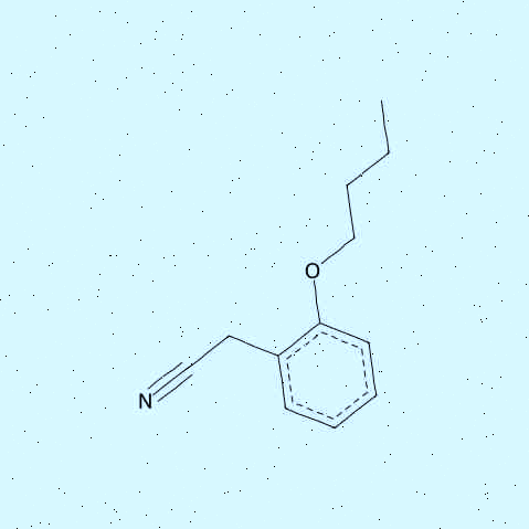 CCCCOc1ccccc1CC#N